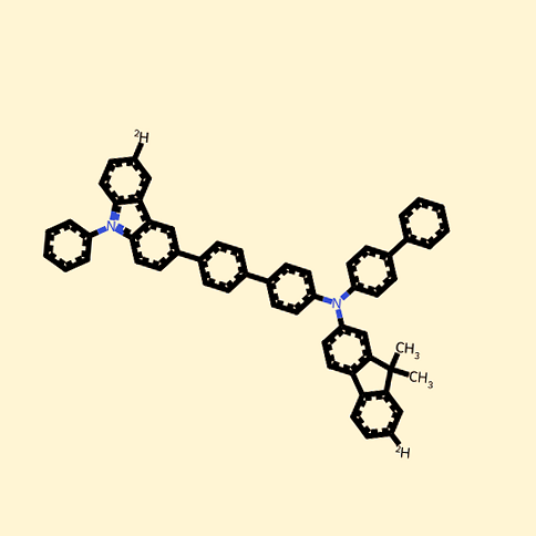 [2H]c1ccc2c(c1)C(C)(C)c1cc(N(c3ccc(-c4ccccc4)cc3)c3ccc(-c4ccc(-c5ccc6c(c5)c5cc([2H])ccc5n6-c5ccccc5)cc4)cc3)ccc1-2